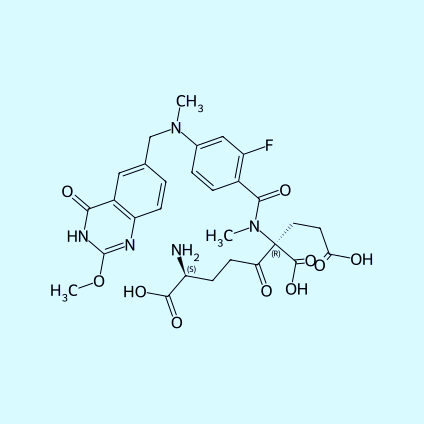 COc1nc2ccc(CN(C)c3ccc(C(=O)N(C)[C@@](CCC(=O)O)(C(=O)O)C(=O)CC[C@H](N)C(=O)O)c(F)c3)cc2c(=O)[nH]1